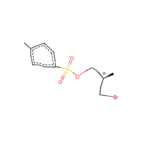 Cc1ccc(S(=O)(=O)OC[C@@H](C)CBr)cc1